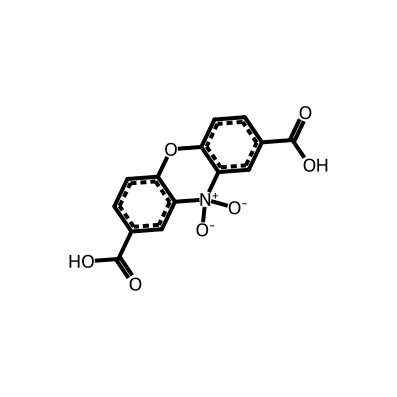 O=C(O)c1ccc2c(c1)[N+]([O-])([O-])c1cc(C(=O)O)ccc1O2